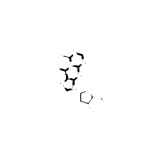 Nc1ncnc2nc3c(ncn3[C@@H]3O[C@H](CO)[C@@H](O)[C@H]3O)c(=O)n12